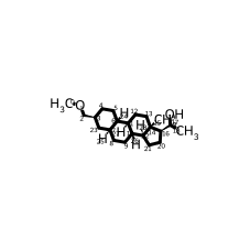 COC[C@H]1CC[C@H]2[C@@H](CC[C@@H]3[C@@H]2CC[C@]2(C)[C@@H](C(C)O)CC[C@@H]32)C1